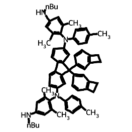 CCCCNc1cc(C)c(N(c2ccc(C)cc2)c2ccc3c(c2)C(c2ccc4c(c2)CC4)(c2ccc4c(c2)CC4)c2cc(N(c4ccc(C)cc4)c4c(C)cc(NCCCC)cc4C)ccc2-3)c(C)c1